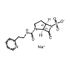 O=C(NCCc1ccccn1)N1CC[C@@H]2[C@H]1C(=O)N2S(=O)(=O)[O-].[Na+]